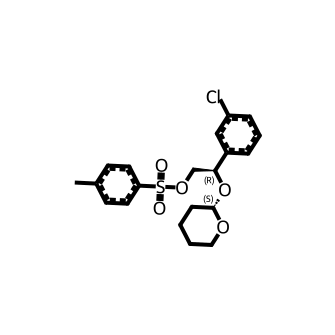 Cc1ccc(S(=O)(=O)OC[C@H](O[C@H]2CCCCO2)c2cccc(Cl)c2)cc1